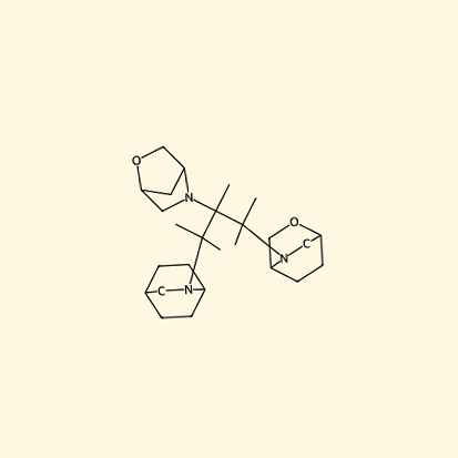 CC(C)(N1CC2CCC1CC2)C(C)(N1CC2CC1CO2)C(C)(C)N1CC2CCC1CO2